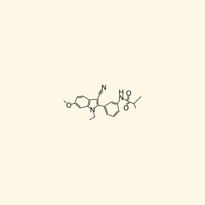 CCn1c(-c2cccc(NS(=O)(=O)C(C)C)c2)c(C#N)c2ccc(OC)cc21